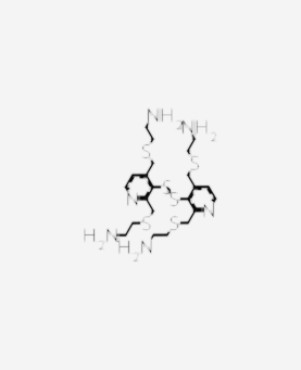 NCCSCc1ccnc(CSCCN)c1SSc1c(CSCCN)ccnc1CSCCN